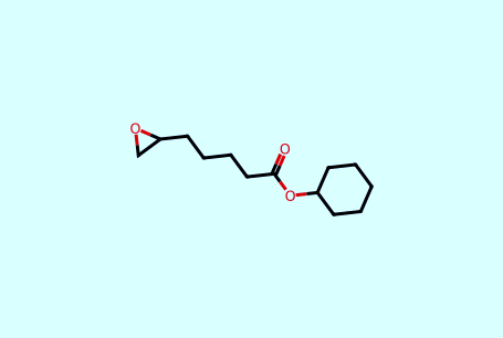 O=C(CCCCC1CO1)OC1CCCCC1